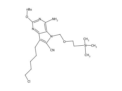 CCCCOc1nc(N)c2c(n1)c(CCCCCCl)c(C#N)n2COCC[Si](C)(C)C